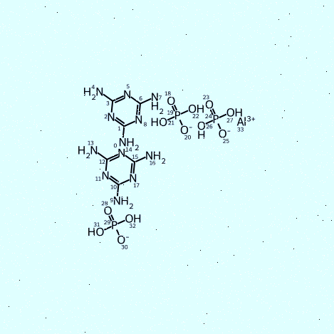 Nc1nc(N)nc(N)n1.Nc1nc(N)nc(N)n1.O=P([O-])(O)O.O=P([O-])(O)O.O=P([O-])(O)O.[Al+3]